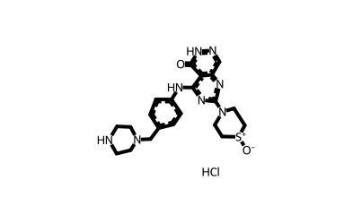 Cl.O=c1[nH]ncc2nc(N3CC[S+]([O-])CC3)nc(Nc3ccc(CN4CCNCC4)cc3)c12